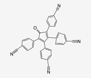 N#Cc1ccc(C2=C(c3ccc(C#N)cc3)C(c3ccc(C#N)cc3)=C(c3ccc(C#N)cc3)C2=O)cc1